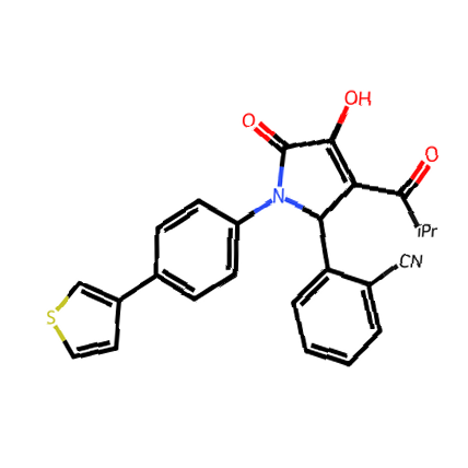 CC(C)C(=O)C1=C(O)C(=O)N(c2ccc(-c3ccsc3)cc2)C1c1ccccc1C#N